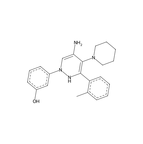 Cc1ccccc1C1=C(N2CCCCC2)C(N)=CN(c2cccc(O)c2)N1